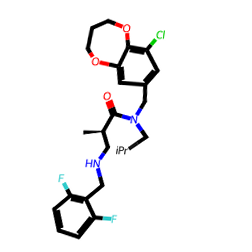 CC(C)CN(Cc1cc(Cl)c2c(c1)OCCCO2)C(=O)[C@H](C)CNCc1c(F)cccc1F